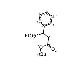 CCOC(=O)C(CC(=O)OC(C)(C)C)c1cccnc1